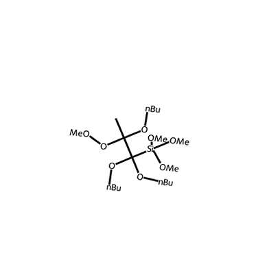 CCCCOC(C)(OOC)C(OCCCC)(OCCCC)[Si](OC)(OC)OC